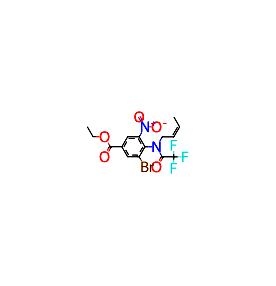 C/C=C\CN(C(=O)C(F)(F)F)c1c(Br)cc(C(=O)OCC)cc1[N+](=O)[O-]